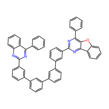 c1ccc(-c2nc(-c3cccc(-c4cccc(-c5cccc(-c6cccc(-c7nc(-c8ccccc8)c8oc9ccccc9c8n7)c6)c5)c4)c3)nc3ccccc23)cc1